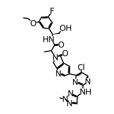 CCOc1cc(F)cc([C@@H](CO)NC(=O)C(C)N2Cc3ncc(-c4nc(Nc5cnn(C)n5)ncc4Cl)cc3C2=O)c1